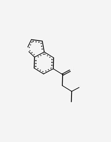 CC(O)CC(=O)c1ccc2occc2c1